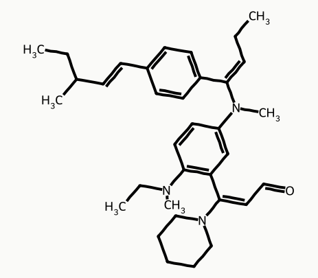 CC/C=C(\c1ccc(/C=C/C(C)CC)cc1)N(C)c1ccc(N(C)CC)c(/C(=C\C=O)N2CCCCC2)c1